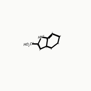 O=C(O)C1CC2CCCC=C2N1